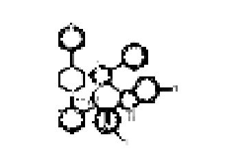 C[C@@H](c1ccc(Cl)cc1)n1cnc(-c2ccccc2)c1-c1c(C(=O)Nc2cccnc2N2CCC(c3ccncc3)CC2)[nH]c2cc(Cl)ccc12